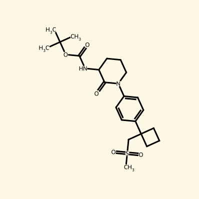 CC(C)(C)OC(=O)NC1CCCN(c2ccc(C3(CS(C)(=O)=O)CCC3)cc2)C1=O